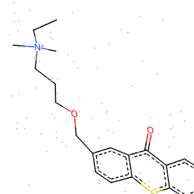 CC[N+](C)(C)CCCOCc1ccc2sc3ccccc3c(=O)c2c1